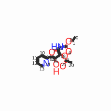 CCOC(=O)Nc1oc(-c2ccccn2)c(O)c1OC(C)=O